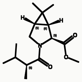 COC(=O)[C@@H]1[C@@H]2[C@H](CN1C(=O)[C@@H](C)C(C)C)C2(C)C